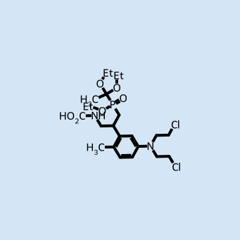 CCOC(C)(OCC)P(=O)(CC(CNC(=O)O)c1cc(N(CCCl)CCCl)ccc1C)OCC